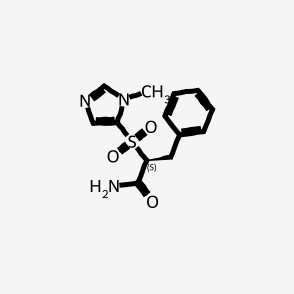 Cn1cncc1S(=O)(=O)[C@@H](Cc1ccccc1)C(N)=O